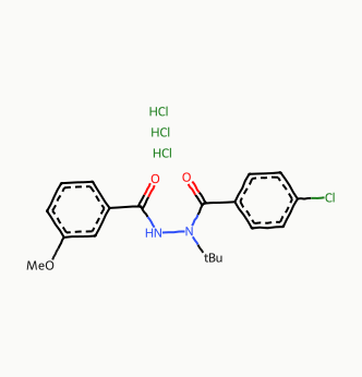 COc1cccc(C(=O)NN(C(=O)c2ccc(Cl)cc2)C(C)(C)C)c1.Cl.Cl.Cl